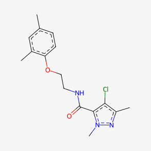 Cc1ccc(OCCNC(=O)c2c(Cl)c(C)nn2C)c(C)c1